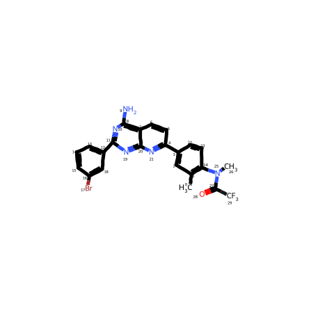 Cc1cc(-c2ccc3c(N)nc(-c4cccc(Br)c4)nc3n2)ccc1N(C)C(=O)C(F)(F)F